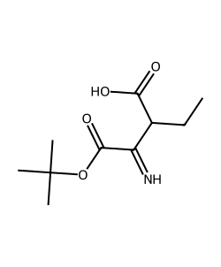 CCC(C(=N)C(=O)OC(C)(C)C)C(=O)O